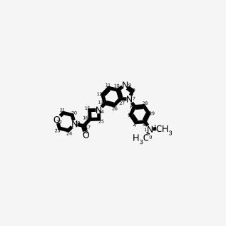 CN(C)c1ccc(-n2cnc3ccc(N4CC(C(=O)N5CCOCC5)C4)cc32)cc1